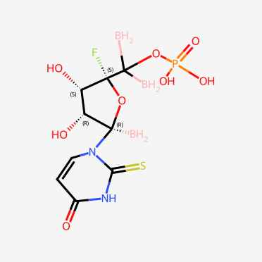 BC(B)(OP(=O)(O)O)[C@@]1(F)O[C@@](B)(n2ccc(=O)[nH]c2=S)[C@H](O)[C@@H]1O